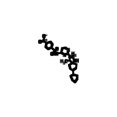 CNC1(C(C)Nc2nccc(NS(=O)(=O)c3ccc([N+](=O)[O-])cc3)n2)C=CC(c2ccccc2)=CC1